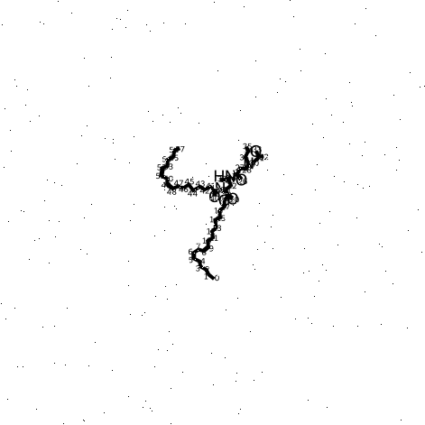 CCCCC/C=C\C/C=C\CCCCCCCCOC(=O)C1CC(NC(=O)CCN2CC(C)OC(C)C2)CN1C(=O)CCCCCCC/C=C\C/C=C\CCCCC